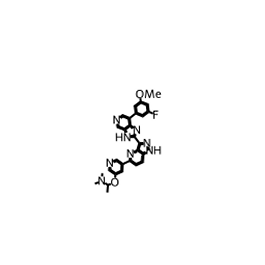 COc1cc(F)cc(-c2cncc3[nH]c(-c4n[nH]c5ccc(-c6cncc(OC(C)N(C)C)c6)nc45)nc23)c1